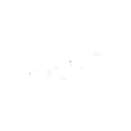 COc1ccc([C@H](N)C(=O)N[C@@H](C(C)C)[C@H](O)C(F)(F)F)cc1